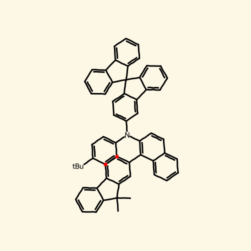 CC(C)(C)c1ccc(N(c2ccc3c(c2)-c2ccccc2C32c3ccccc3-c3ccccc32)c2ccc3ccccc3c2-c2ccc3c(c2)C(C)(C)c2ccccc2-3)cc1